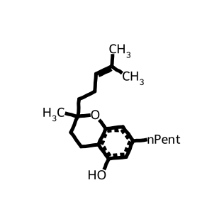 CCCCCc1cc(O)c2c(c1)OC(C)(CCC=C(C)C)CC2